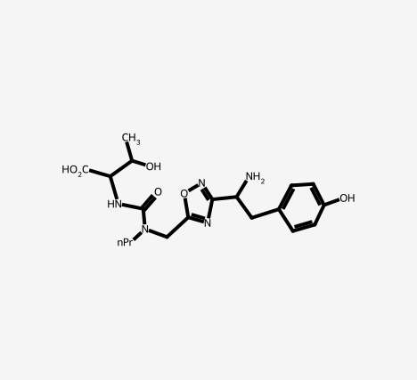 CCCN(Cc1nc(C(N)Cc2ccc(O)cc2)no1)C(=O)NC(C(=O)O)C(C)O